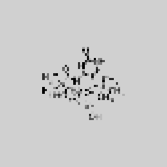 CC(C)(C)C(=O)c1c[nH]c(=O)nc1N(C(=O)C(C)(C)C)[C@@H]1O[C@H](CO)C[C@@H]1O